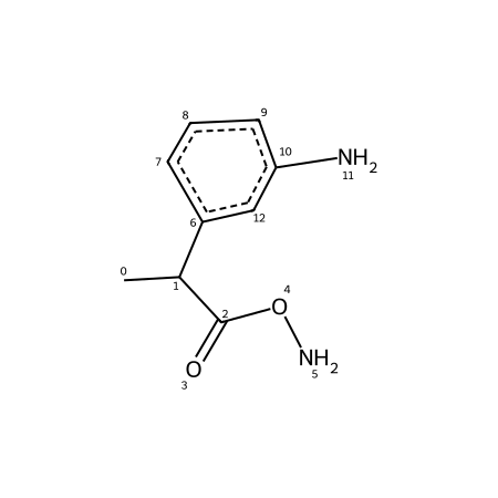 CC(C(=O)ON)c1cccc(N)c1